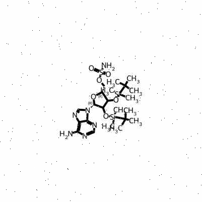 CC(C)(C)[Si](C)(C)OC1C(O[Si](C)(C)C(C)(C)C)[C@@H](COS(N)(=O)=O)O[C@H]1n1cnc2c(N)ncnc21